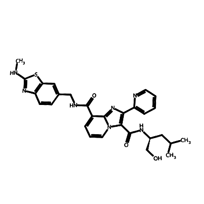 CNc1nc2ccc(CNC(=O)c3cccn4c(C(=O)N[C@H](CO)CC(C)C)c(-c5ccccn5)nc34)cc2s1